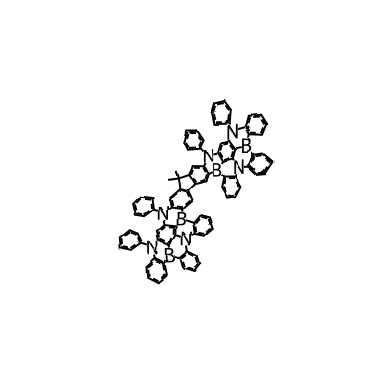 CC1(C)c2cc3c(cc2-c2cc4c(cc21)N(c1ccccc1)c1cc2c5c6c1B4c1ccccc1N6c1ccccc1B5c1ccccc1N2c1ccccc1)B1c2ccccc2N2c4ccccc4B4c5ccccc5N(c5ccccc5)c5cc(c1c2c54)N3c1ccccc1